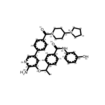 CC(Oc1cc(-c2ccc(C(=O)N3CCC(N4CCCC4)CC3)cc2)cnc1N)c1ccc(C(=O)Nc2cccc(O)c2)cc1